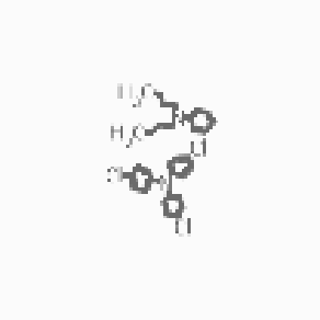 CCCCN(CCCC)c1ccccc1.Clc1ccc(N(c2ccc(Cl)cc2)c2ccc(Cl)cc2)cc1